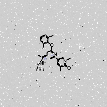 C=C(/N=C(\C/C=C(\C)NSCCCC)Oc1c(C)cccc1C)c1cc(C)c(=O)n(C)c1